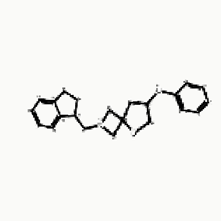 c1ccc(OC2COC3(C2)CN(CC2CCc4ccccc42)C3)cc1